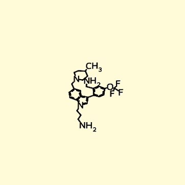 CC1CCN(Cc2ccc3c(c2)c(-c2ccc(OC(F)(F)F)cc2CN)cn3CCCN)CC1